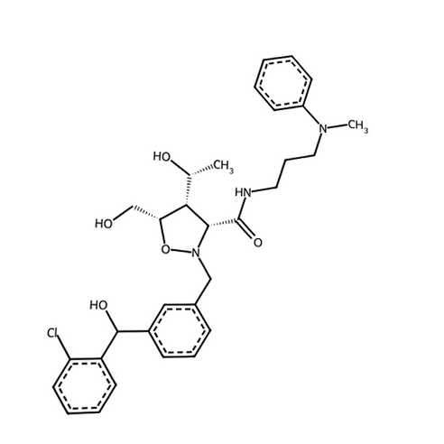 C[C@@H](O)[C@H]1[C@@H](CO)ON(Cc2cccc(C(O)c3ccccc3Cl)c2)[C@H]1C(=O)NCCCN(C)c1ccccc1